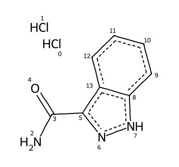 Cl.Cl.NC(=O)c1n[nH]c2ccccc12